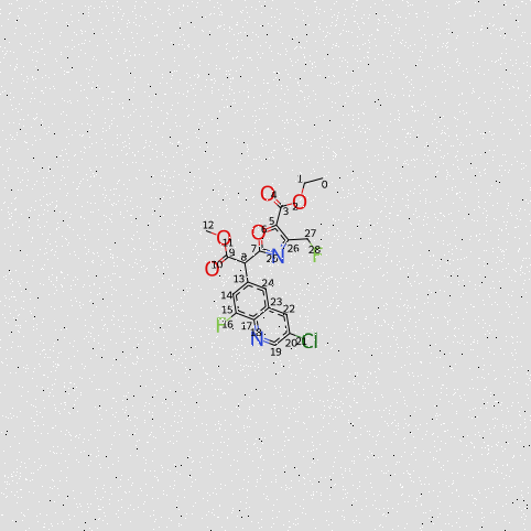 CCOC(=O)c1oc(C(C(=O)OC)c2cc(F)c3ncc(Cl)cc3c2)nc1CF